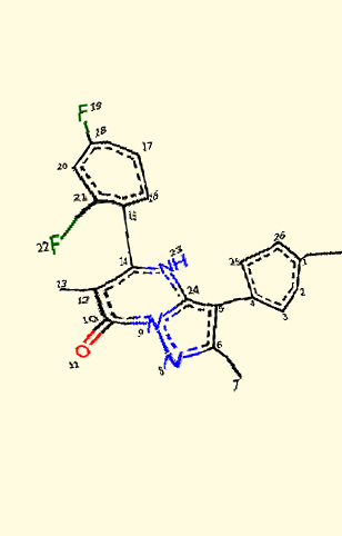 Cc1ccc(-c2c(C)nn3c(=O)c(C)c(-c4ccc(F)cc4F)[nH]c23)cc1